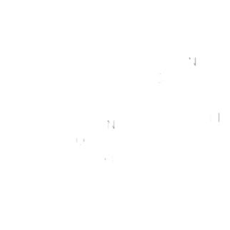 CC1C(c2cc3c(Cl)ccnc3s2)=CCN1C(=O)OCc1ccccc1